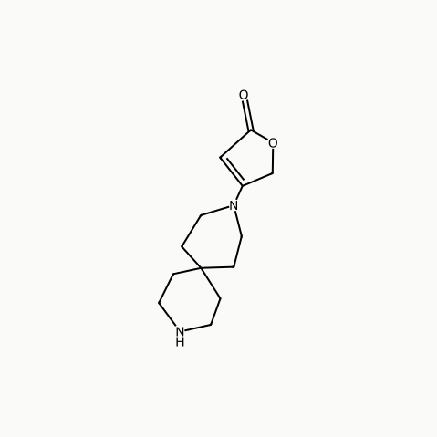 O=C1C=C(N2CCC3(CCNCC3)CC2)CO1